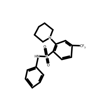 O=S(=O)(Nc1ccccc1)c1ccc(C(F)(F)F)cc1N1CCCCC1